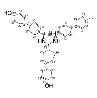 CC1CC=C(C2C=CC(C3NC(C4C=CC(C5C=CC(O)=CC5)CC4)NC(C4CCC(C5CC=C(O)CC5)CC4)N3)=CC2)CC1